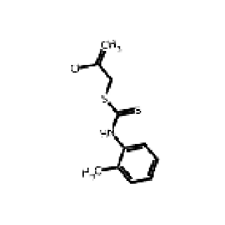 C=C(Cl)CSC(=S)Nc1ccccc1C